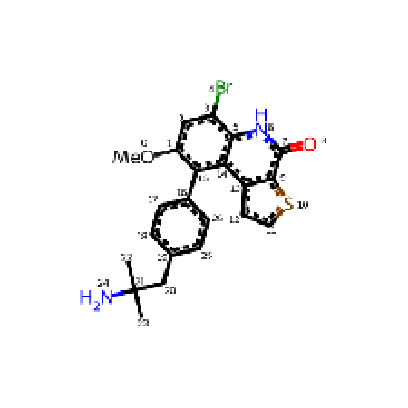 COc1cc(Br)c2[nH]c(=O)c3sccc3c2c1-c1ccc(CC(C)(C)N)cc1